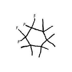 CC1(C)C(C)(C)C(C)(C)C(F)(F)C(F)(F)C1(C)C